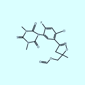 Cn1c(=S)n(C)c(=O)n(-c2cc(C3=NOC(C)(COC=O)C3)c(Cl)cc2F)c1=O